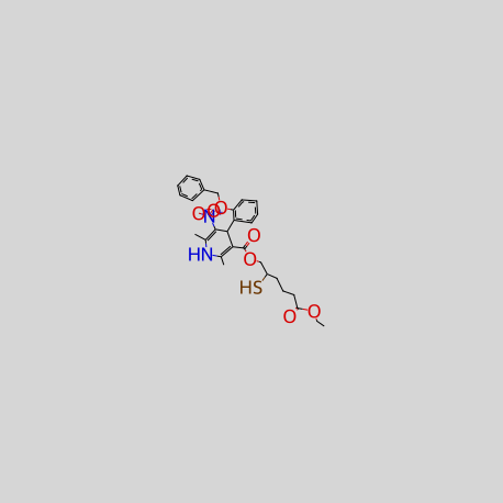 CCOC(=O)CCCC(S)COC(=O)C1=C(C)NC(C)=C([N+](=O)[O-])C1c1ccccc1OCc1ccccc1